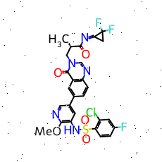 COc1ncc(-c2ccc3ncn(C[C@@H](C)C(=O)/N=C4\CC4(F)F)c(=O)c3c2)cc1NS(=O)(=O)c1ccc(F)cc1Cl